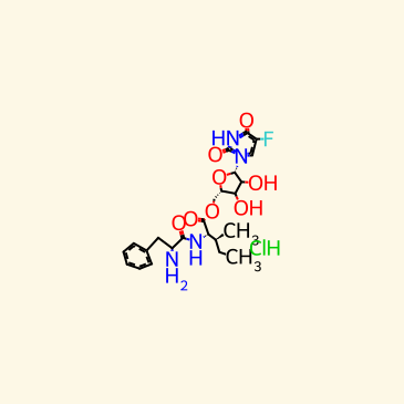 CC[C@H](C)[C@H](NC(=O)[C@@H](N)Cc1ccccc1)C(=O)OC[C@@H]1O[C@H](n2cc(F)c(=O)[nH]c2=O)C(O)C1O.Cl